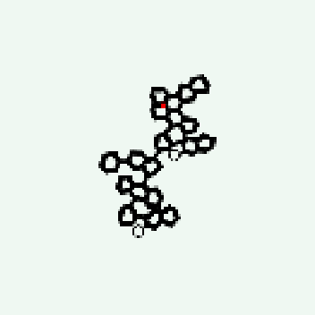 c1ccc(-c2ccc3c(-c4ccc(-c5c6ccccc6c(-c6cc7ccccc7cc6-c6ccccc6)c6ccccc56)c5c4oc4cc6ccccc6cc45)ccc(-c4c5ccccc5c(-c5cccc6oc7cc8ccccc8cc7c56)c5ccccc45)c3c2)cc1